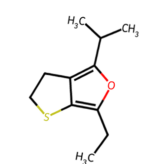 CCc1oc(C(C)C)c2c1SCC2